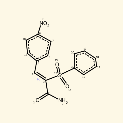 NC(=O)/C(=C/c1ccc([N+](=O)[O-])cc1)S(=O)(=O)c1ccccc1